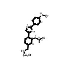 CCOC(=O)NCc1ccc(-c2cnc(-c3ccc(OC(C)C)cc3)s2)c(SNC(C)(C)C)c1